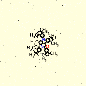 Cc1cc2c3c(c1)N(c1ccc4c(c1)C(C)(C)CCC4(C)C)c1c(oc4cc5c(cc14)C1(C)CCC5(C)CC1)B3c1cc3c(cc1N2c1ccc2c(c1)C(C)(C)CCC2(C)C)C1(C)CCC3(C)CC1